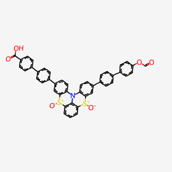 O=COc1ccc(-c2ccc(-c3ccc4c(c3)[S+]([O-])c3cccc5c3N4c3ccc(-c4ccc(-c6ccc(C(=O)O)cc6)cc4)cc3[S+]5[O-])cc2)cc1